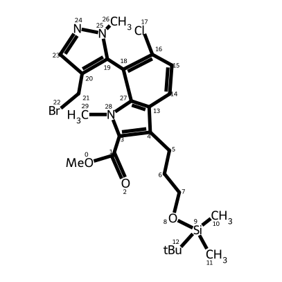 COC(=O)c1c(CCCO[Si](C)(C)C(C)(C)C)c2ccc(Cl)c(-c3c(CBr)cnn3C)c2n1C